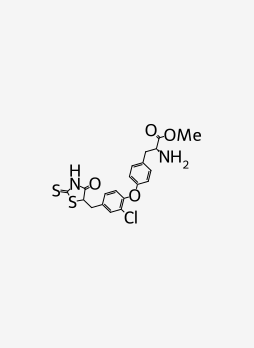 COC(=O)[C@@H](N)Cc1ccc(Oc2ccc(CC3SC(=S)NC3=O)cc2Cl)cc1